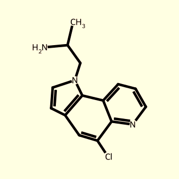 CC(N)Cn1ccc2cc(Cl)c3ncccc3c21